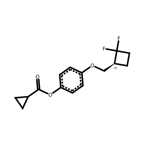 O=C(Oc1ccc(OC[C@@H]2CCC2(F)F)cc1)C1CC1